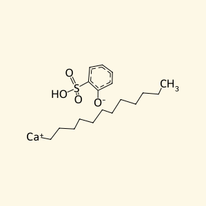 CCCCCCCCCCC[CH2][Ca+].O=S(=O)(O)c1ccccc1[O-]